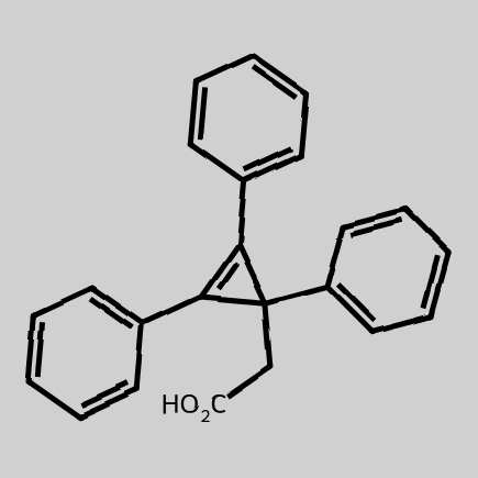 O=C(O)CC1(c2ccccc2)C(c2ccccc2)=C1c1ccccc1